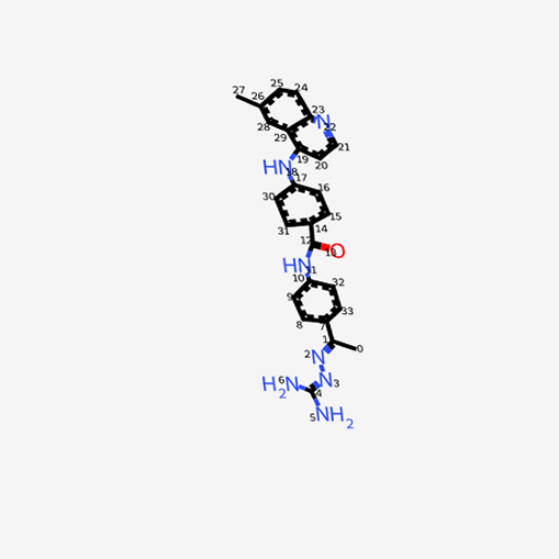 C/C(=N\N=C(N)N)c1ccc(NC(=O)c2ccc(Nc3ccnc4ccc(C)cc34)cc2)cc1